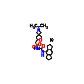 CC(C)N1CC2(COC(CS(=O)(=O)NC(=O)Nc3c4c(cc5c3CCC5)CCC4)C2)C1.[K]